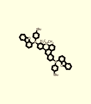 CC(C)(C)c1ccc(N(c2ccc3c(c2)[Si](C)(C)c2cccc4c2c-3cc2ccc(N(c3ccc(C(C)(C)C)cc3)c3cccc5c3oc3ccccc35)cc24)c2cccc3c2oc2ccccc23)cc1